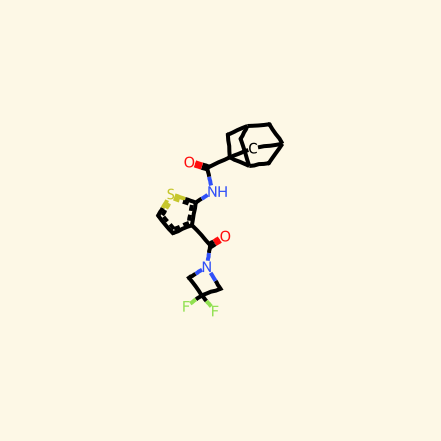 O=C(c1ccsc1NC(=O)C12CC3CC(CC1C3)C2)N1CC(F)(F)C1